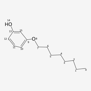 CCCCCCCCOc1cc[c]c(O)c1